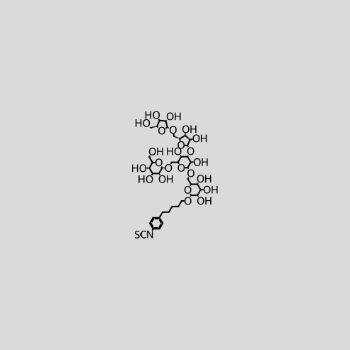 OCC1O[C@@H](OCC2O[C@@H](OCC3O[C@@H](OCCCCCc4ccc(N=C=S)cc4)[C@@H](O)C(O)[C@H]3O)C(O)[C@@H](O[C@H]3O[C@@H](CO[C@@H]4O[C@@H](CO)C(O)[C@@H]4O)[C@@H](O)C3O)[C@H]2O)[C@@H](O)C(O)[C@H]1O